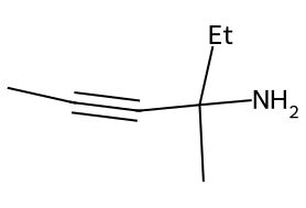 CC#CC(C)(N)CC